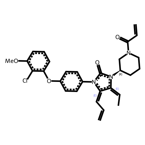 C=C/C=c1\c(=C/C)n([C@@H]2CCCN(C(=O)C=C)C2)c(=O)n1-c1ccc(Oc2cccc(OC)c2Cl)cc1